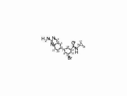 Nc1ncc2cc(-c3cc(Br)cc(C(=O)NC4CC4)c3)ccc2n1